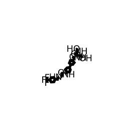 C[C@@H](O)[C@H](NC(=O)c1ccc(-c2ccc(NC(=O)CNCc3ccc(C(F)(F)F)cc3)cc2)cc1)C(=O)NO